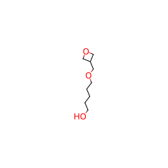 OCCCCCOCC1COC1